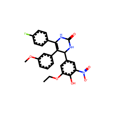 CCOc1cc(C2NC(=O)NC(c3ccc(F)cc3)=C2c2cccc(OC)c2)cc([N+](=O)[O-])c1O